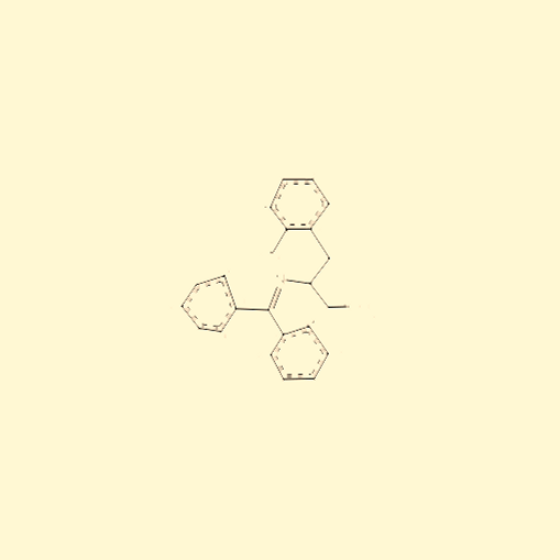 CCOC(=O)CC(Cc1ccccc1Cl)N=C(c1ccccc1)c1ccccc1